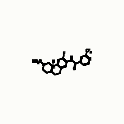 O=C(Nc1cc2c(cc1F)[C@@H]1CN(C(=O)O)CCN1CC2)c1ccnc(C(F)(F)F)c1